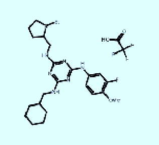 CCN1CCCC1CNc1nc(NCC2CCCCC2)nc(Nc2ccc(OC)c(F)c2)n1.O=C(O)C(F)(F)F